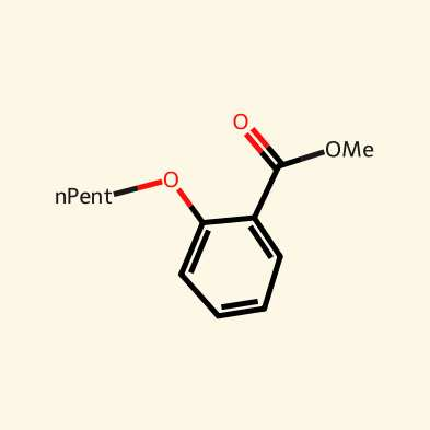 [CH2]OC(=O)c1ccccc1OCCCCC